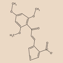 COc1cc(OC)c(C(=O)/C=C/c2ccccc2[N+](=O)[O-])c(OC)c1